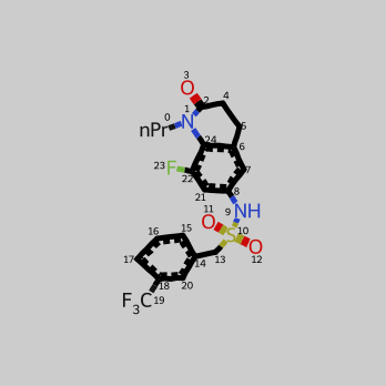 CCCN1C(=O)CCc2cc(NS(=O)(=O)Cc3cccc(C(F)(F)F)c3)cc(F)c21